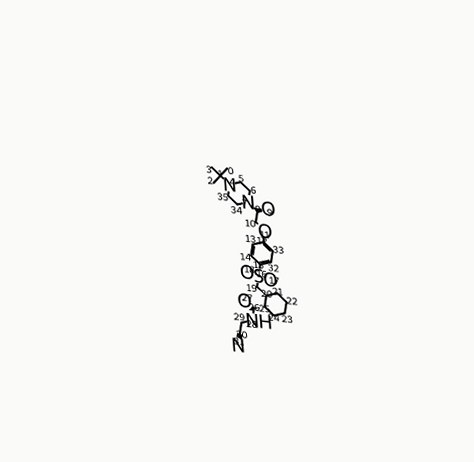 CC(C)(C)N1CCN(C(=O)COc2ccc(S(=O)(=O)C[C@H]3CCCC[C@@H]3C(=O)NCC#N)cc2)CC1